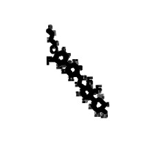 C=CCCOc1ccc(-c2ccc(CCc3ccc(C4=CCC(C)CC4)c(F)c3F)cc2)cc1F